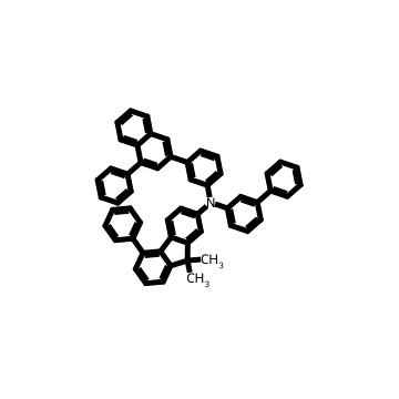 CC1(C)c2cc(N(c3cccc(-c4ccccc4)c3)c3cccc(-c4cc(-c5ccccc5)c5ccccc5c4)c3)ccc2-c2c(-c3ccccc3)cccc21